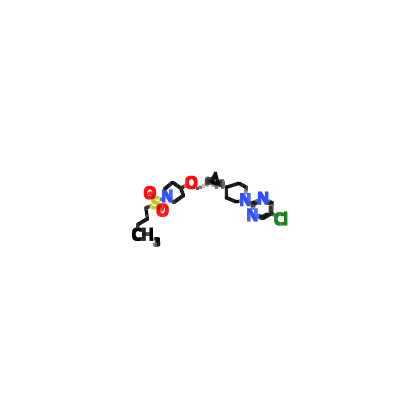 CCCCS(=O)(=O)N1CCC(OC[C@@H]2C[C@@H]2C2CCN(c3ncc(Cl)cn3)CC2)CC1